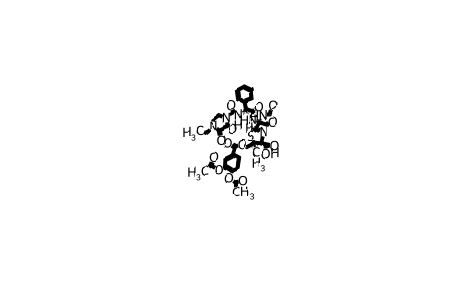 CCN1CCN(C(=O)N[C@@H](C(=O)N[C@]2(NC=O)C(=O)N3C(C(=O)O)[C@](C)(COC(=O)c4ccc(OC(C)=O)c(OC(C)=O)c4)S[C@H]32)c2ccccc2)C(=O)C1=O